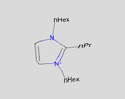 CCCCCCn1cc[n+](CCCCCC)c1CCC